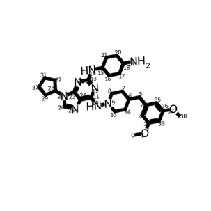 COc1cc(CC2CCN(Nc3nc(NC4CCC(N)CC4)nc4c3ncn4C3CCCC3)CC2)cc(OC)c1